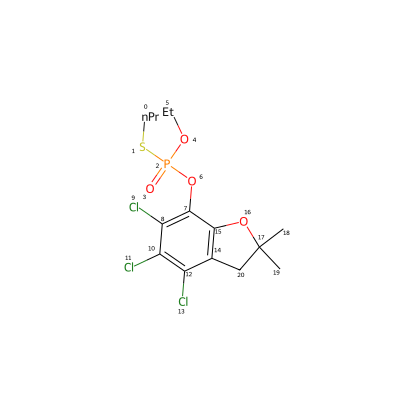 CCCSP(=O)(OCC)Oc1c(Cl)c(Cl)c(Cl)c2c1OC(C)(C)C2